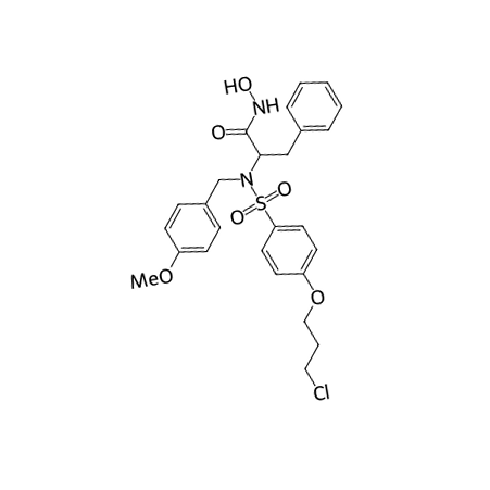 COc1ccc(CN(C(Cc2ccccc2)C(=O)NO)S(=O)(=O)c2ccc(OCCCCl)cc2)cc1